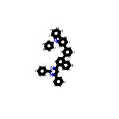 c1ccc(-c2cc(-c3ccc(-c4cccc(-c5ccc6c7ccccc7n(-c7ccccc7)c6c5)c4)c4ccccc34)nc(-c3ccccc3)n2)cc1